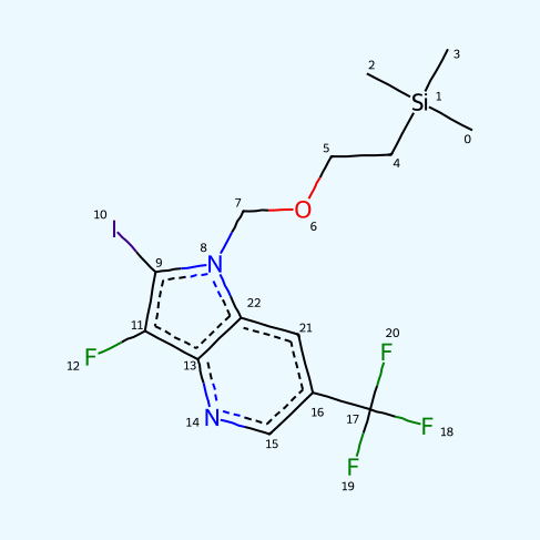 C[Si](C)(C)CCOCn1c(I)c(F)c2ncc(C(F)(F)F)cc21